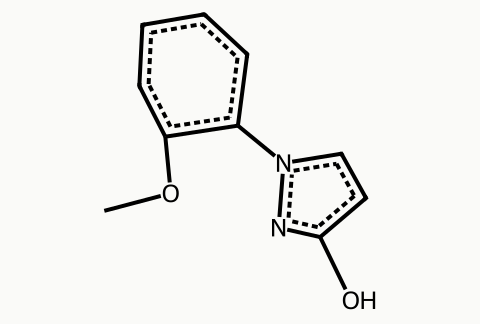 COc1ccccc1-n1ccc(O)n1